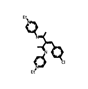 CC[n+]1ccc(N=C(C)C(=Cc2ccc(Cl)cc2)C(C)=Nc2cc[n+](CC)cc2)cc1